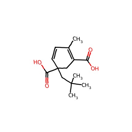 CC1=C(C(=O)O)CC(CC(C)(C)C)(C(=O)O)C=C1